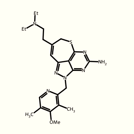 CCN(CC)CCC1=Cc2nn(Cc3ncc(C)c(OC)c3C)c3nc(N)nc(c23)SC1